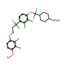 CCCCCC1CCC(C(F)(F)Oc2ccc(C(F)(F)CCOc3ccc(OCC)c(F)c3F)c(F)c2F)CC1